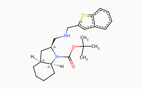 CC(C)(C)OC(=O)N1[C@H](CNCc2cc3ccccc3s2)C[C@@H]2CCCC[C@@H]21